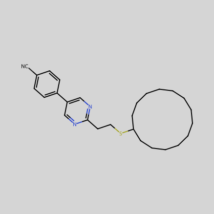 N#Cc1ccc(-c2cnc(CCSC3CCCCCCCCCCCCC3)nc2)cc1